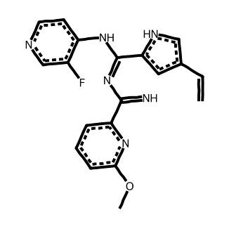 C=Cc1c[nH]c(/C(=N\C(=N)c2cccc(OC)n2)Nc2ccncc2F)c1